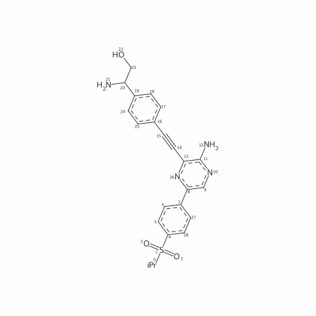 CC(C)S(=O)(=O)c1ccc(-c2cnc(N)c(C#Cc3ccc(C(N)CO)cc3)n2)cc1